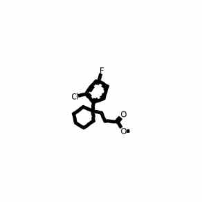 COC(=O)CCC1(c2ccc(F)cc2Cl)CCCCC1